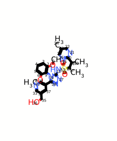 COc1cccc(OC)c1-n1c(NS(=O)(=O)[C@@H](C)[C@H](C)c2ncc(C)cn2)nnc1-c1cncc(CO)c1